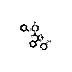 O=C(c1ncn([C@H]2COCC[C@@H]2O)c1-c1ccccc1)N1CCNC[C@H]1Cc1ccccc1